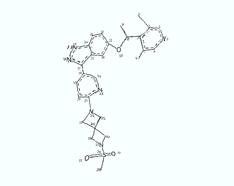 Cc1cncc(C)c1C(C)Oc1ccc2[nH]nc(-c3ccc(N4CC5(C4)CN(S(C)(=O)=O)C5)nc3)c2c1